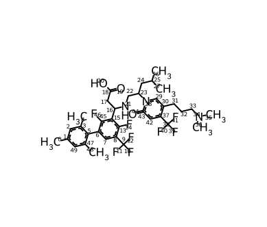 Cc1cc(C)c(-c2cc(C(F)(F)F)c(F)c(C(CC(=O)O)NCC(CC(C)C)n3cc(CCCN(C)C)c(C(F)(F)F)cc3=O)c2F)c(C)c1